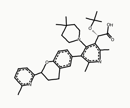 Cc1cccc(C2CCc3cc(-c4c(C)nc(C)c([C@H](OC(C)(C)C)C(=O)O)c4N4CCC(C)(C)CC4)ccc3O2)n1